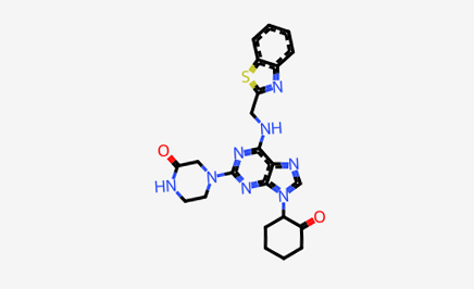 O=C1CN(c2nc(NCc3nc4ccccc4s3)c3ncn(C4CCCCC4=O)c3n2)CCN1